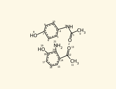 CC(=O)Nc1ccc(O)cc1.CC(=O)c1cccc(O)c1N